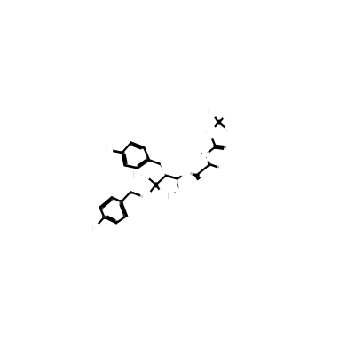 CC(NC(=O)OC(C)(C)C)C(=O)O[C@@H](C)[C@H](Cc1ccc(F)cc1)C(C)(C)OCc1ccc(F)cc1